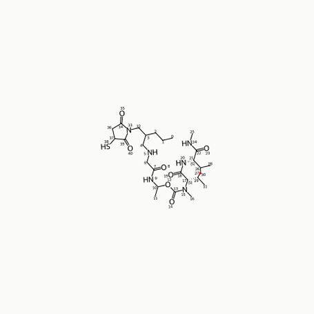 CCCC(CNCC(=O)NC(C)OC(=O)N(C)[C@H](C(=O)N[C@H](C(=O)NC)C(C)C)C(C)C)CN1C(=O)CC(S)C1=O